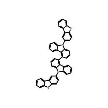 c1ccc2c(c1)sc1ccc(-n3c4ccccc4c4c(-c5cccc6c5c5ccccc5n6-c5ccc6sc7ccccc7c6c5)cccc43)cc12